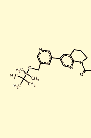 CC(C)(C)[Si](C)(C)OCc1cncc(-c2cnc3c(c2)CCCN3C(N)=O)c1